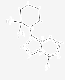 CC1(C)CCCCN1c1nnc2c(Cl)nccn12